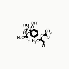 CC(=O)N[C@@]1([As](=O)(O)OO)C=CC=CC1.CC(=O)OC(C)CCl